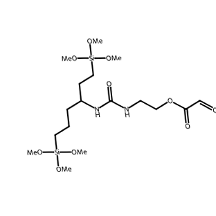 C=CC(=O)OCCNC(=O)NC(CCC[Si](OC)(OC)OC)CC[Si](OC)(OC)OC